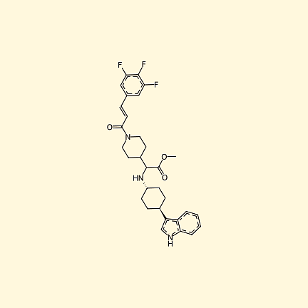 COC(=O)C(N[C@H]1CC[C@H](c2c[nH]c3ccccc32)CC1)C1CCN(C(=O)/C=C/c2cc(F)c(F)c(F)c2)CC1